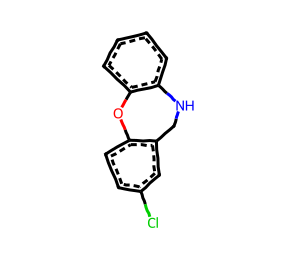 Clc1ccc2c(c1)CNc1ccccc1O2